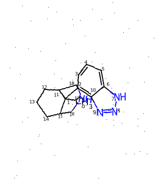 CC1(c2cccc3[nH]nnc23)C2CCCC1CNC2